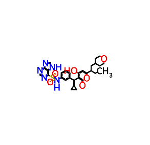 CCC(CC1CCOCC1)c1cc(O)c(C(c2cccc(NS(=O)(=O)c3ncnc4nc[nH]c34)c2)C2CC2)c(=O)o1